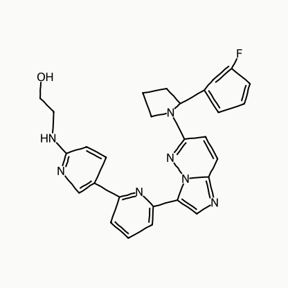 OCCNc1ccc(-c2cccc(-c3cnc4ccc(N5CCCC5c5cccc(F)c5)nn34)n2)cn1